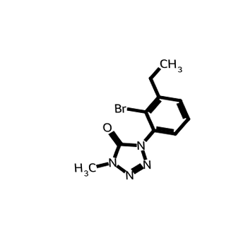 CCc1cccc(-n2nnn(C)c2=O)c1Br